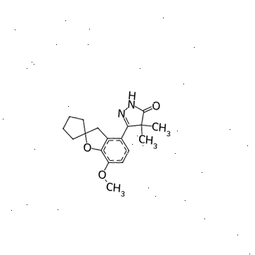 COc1ccc(C2=NNC(=O)C2(C)C)c2c1OC1(CCCC1)C2